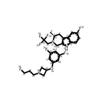 C[C@H]1Cc2c([nH]c3ccc(F)cc23)[C@H](c2c(F)cc(OC3CN(CCCF)C3)cc2F)N1CC(F)(F)F